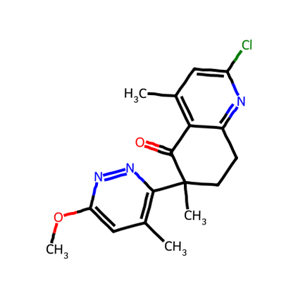 COc1cc(C)c(C2(C)CCc3nc(Cl)cc(C)c3C2=O)nn1